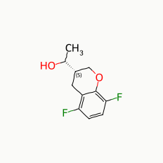 CC(O)[C@@H]1COc2c(F)ccc(F)c2C1